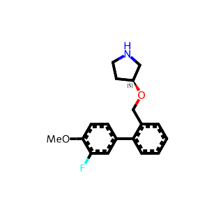 COc1ccc(-c2ccccc2CO[C@H]2CCNC2)cc1F